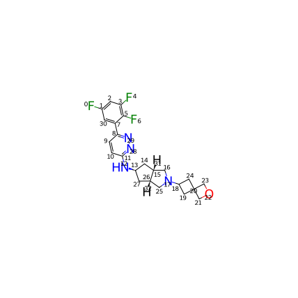 Fc1cc(F)c(F)c(-c2ccc(N[C@H]3C[C@@H]4CN(C5CC6(COC6)C5)C[C@@H]4C3)nn2)c1